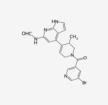 CC1CN(C(=O)c2cncc(Br)c2)CC=C1c1cc(NC=O)nc2[nH]ccc12